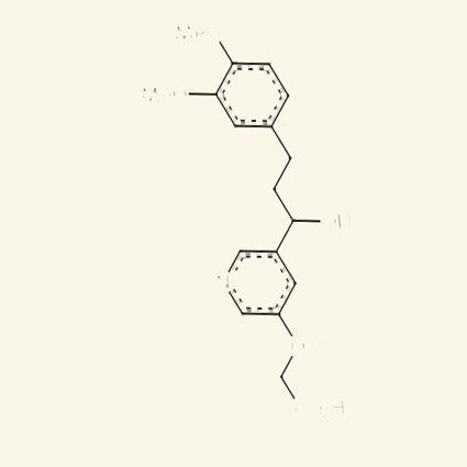 COc1ccc(CCC(O)c2cncc(OCC(=O)O)c2)cc1OC